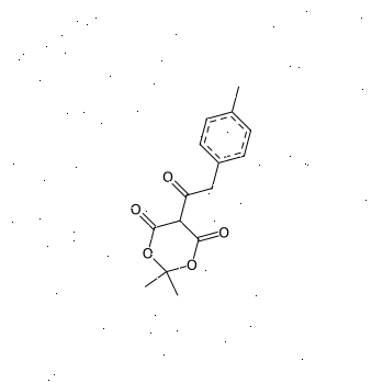 Cc1ccc(CC(=O)C2C(=O)OC(C)(C)OC2=O)cc1